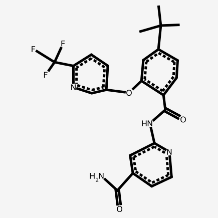 CC(C)(C)c1ccc(C(=O)Nc2cc(C(N)=O)ccn2)c(Oc2ccc(C(F)(F)F)nc2)c1